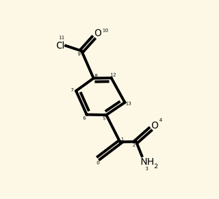 C=C(C(N)=O)c1ccc(C(=O)Cl)cc1